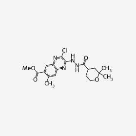 COC(=O)c1cc2nc(Cl)c(NNC(=O)C3CCOC(C)(C)C3)nc2cc1C